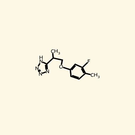 Cc1ccc(OCC(C)c2nnn[nH]2)cc1F